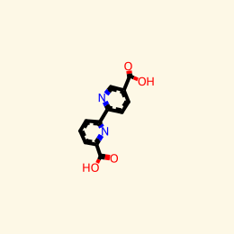 O=C(O)c1ccc(-c2cccc(C(=O)O)n2)nc1